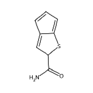 NC(=O)C1C=C2C=CC=C2S1